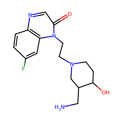 NCC1CN(CCn2c(=O)cnc3ccc(F)cc32)CCC1O